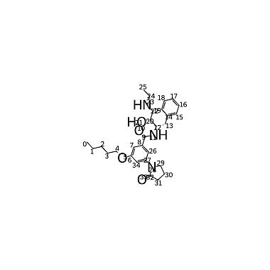 CCCCCOc1cc(C(=O)N[C@@H](Cc2ccccc2)[C@H](O)CNCC)cc(N2CCCC2=O)c1